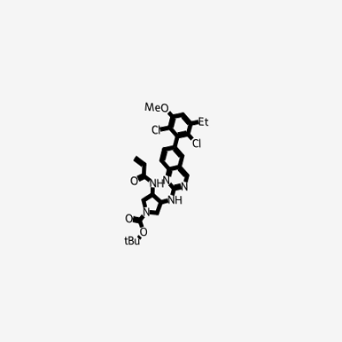 C=CC(=O)NC1CN(C(=O)OC(C)(C)C)CC1Nc1ncc2cc(-c3c(Cl)c(CC)cc(OC)c3Cl)ccc2n1